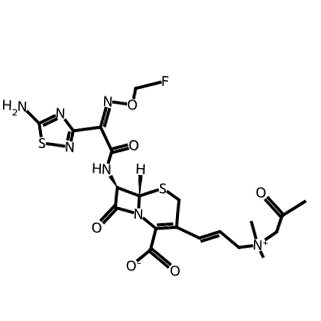 CC(=O)C[N+](C)(C)C/C=C/C1=C(C(=O)[O-])N2C(=O)[C@@H](NC(=O)/C(=N\OCF)c3nsc(N)n3)[C@@H]2SC1